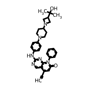 C#Cc1cc(=O)n(-c2ccccc2)c2nc(Nc3ccc(N4CCC(N5CC(C(C)(C)O)C5)CC4)cc3)ncc12